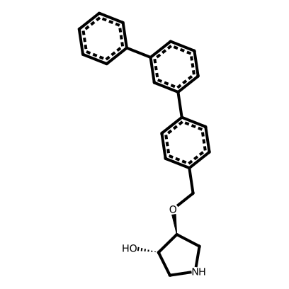 O[C@H]1CNC[C@@H]1OCc1ccc(-c2cccc(-c3ccccc3)c2)cc1